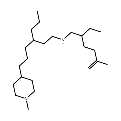 C=C(C)CCC(CC)CNCCC(CCC)CCCC1CCN(C)CC1